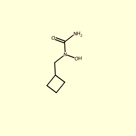 NC(=O)N(O)CC1CCC1